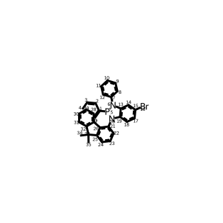 C=C(/C=C\C)P1N(c2ccccc2)c2cc(Br)ccc2N1c1cccc2c1-c1ccccc1C2(C)C